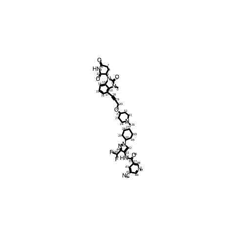 Cn1c(=O)n(C2CCC(=O)NC2=O)c2cccc(C#CCOC3CCN(C[C@H]4CC[C@H](n5cc(NC(=O)c6cncc(C#N)c6)c(C(F)F)n5)CC4)CC3)c21